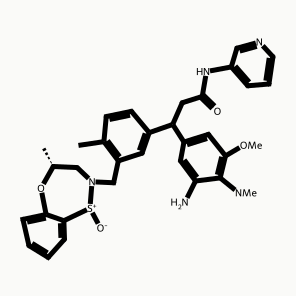 CNc1c(N)cc(C(CC(=O)Nc2cccnc2)c2ccc(C)c(CN3C[C@@H](C)Oc4ccccc4[S+]3[O-])c2)cc1OC